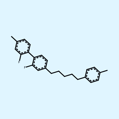 Cc1ccc(CCCCCc2ccc(-c3ccc(C)cc3F)c(F)c2)cc1